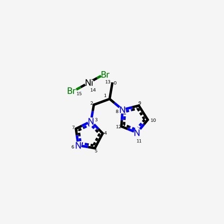 CC(Cn1ccnc1)n1ccnc1.[Br][Ni][Br]